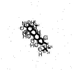 CN(C)[C@@H]1C(O)=C(C(N)=O)C(=O)C2(O)C(O)=C3C(=O)c4c(O)cc(CN(C)C(C)(C)CO)c(Cl)c4C[C@H]3C[C@@H]12